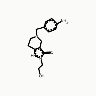 Nc1ccc(CN2CCc3[nH]n(CCO)c(=O)c3C2)cc1